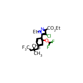 CCOC(=O)c1nn(CC)c(-c2ccc(CC(C)(C)CC(F)(F)F)cc2OC(F)F)c1Cl